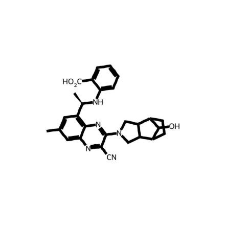 Cc1cc([C@@H](C)Nc2ccccc2C(=O)O)c2nc(N3CC4C5CCC(C5O)C4C3)c(C#N)nc2c1